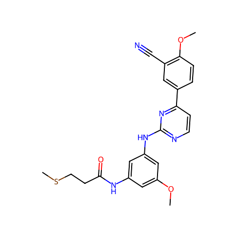 COc1cc(NC(=O)CCSC)cc(Nc2nccc(-c3ccc(OC)c(C#N)c3)n2)c1